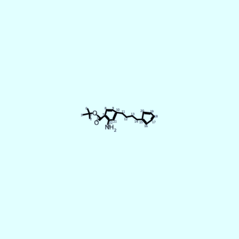 CC(C)(C)OC(=O)c1ccc(CCCCc2ccccc2)cc1N